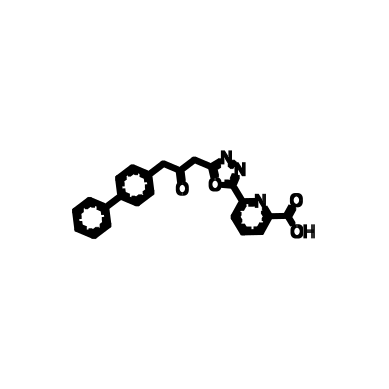 O=C(Cc1ccc(-c2ccccc2)cc1)Cc1nnc(-c2cccc(C(=O)O)n2)o1